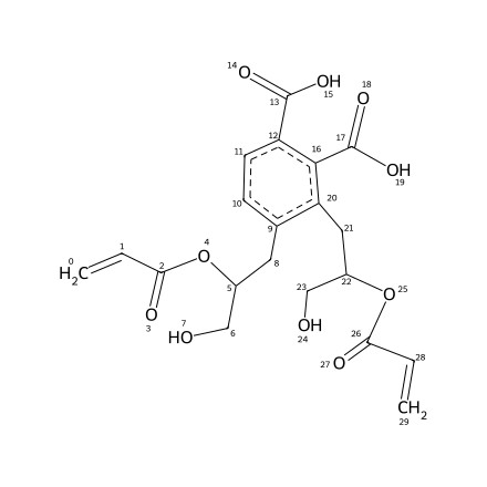 C=CC(=O)OC(CO)Cc1ccc(C(=O)O)c(C(=O)O)c1CC(CO)OC(=O)C=C